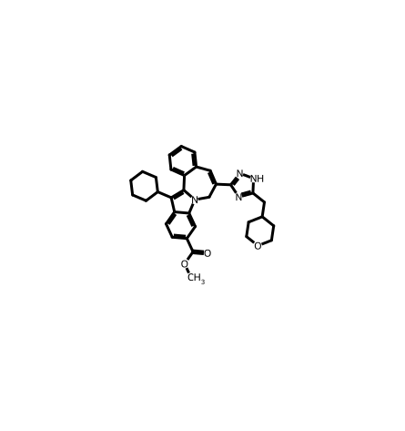 COC(=O)c1ccc2c(C3CCCCC3)c3n(c2c1)CC(c1n[nH]c(CC2CCOCC2)n1)=Cc1ccccc1-3